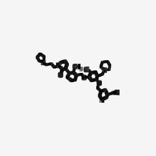 Cc1c(COc2cc(OCc3cncc(C#N)c3)c(CN3CCCCC3)cc2Cl)cccc1-c1cccn(CCCN2CCCC2)c1=O